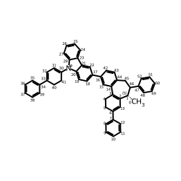 C[C@@H]1C2=C(CCC(c3ccccc3)=C2)c2cc(-c3ccc4c(c3)c3ccccc3n4C3=CC=C(c4ccccc4)CC3)ccc2CC1c1ccccc1